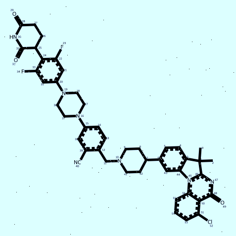 CC1(C)c2ccc(C3CCN(Cc4ccc(N5CCN(c6cc(F)c(C7CCC(=O)NC7=O)c(F)c6)CC5)cc4C#N)CC3)cc2-n2c1nc(=O)c1c(Cl)cccc12